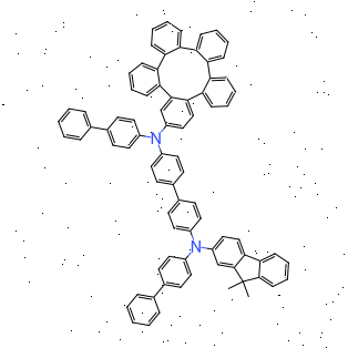 CC1(C)c2ccccc2-c2ccc(N(c3ccc(-c4ccccc4)cc3)c3ccc(-c4ccc(N(c5ccc(-c6ccccc6)cc5)c5ccc6c7ccccc7c7ccccc7c7ccccc7c7ccccc7c6c5)cc4)cc3)cc21